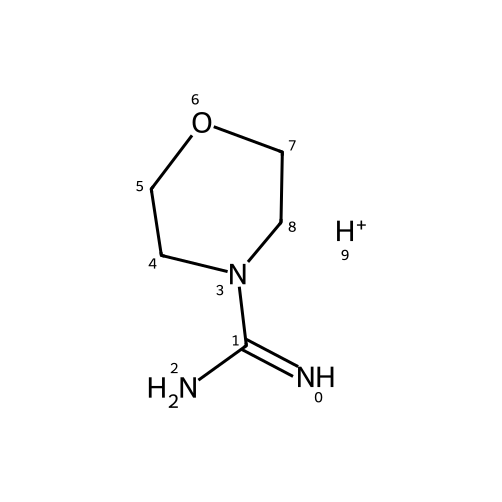 N=C(N)N1CCOCC1.[H+]